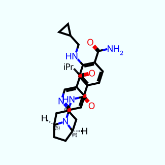 CC(C)C(=O)c1ccc(N2[C@@H]3CC[C@H]2C[C@@H](NC(=O)c2ccc(C(N)=O)c(NCC4CC4)c2)C3)nc1